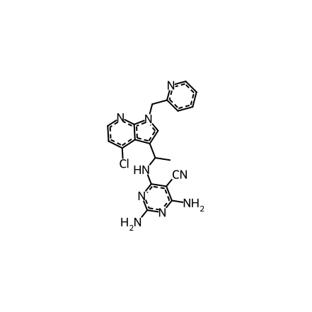 CC(Nc1nc(N)nc(N)c1C#N)c1cn(Cc2ccccn2)c2nccc(Cl)c12